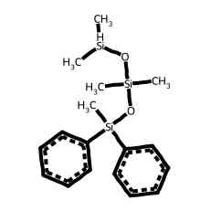 C[SiH](C)O[Si](C)(C)O[Si](C)(c1ccccc1)c1ccccc1